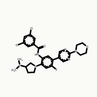 CN(C)C1CCN(c2cc(F)c(-c3cnc(N4CCOCC4)nc3)cc2NC(=O)c2cc(Cl)cc(Cl)c2)C1